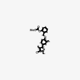 COC(=O)Oc1ccccc1COc1ccc(-c2nn(C)c(Cl)c2C)cc1C